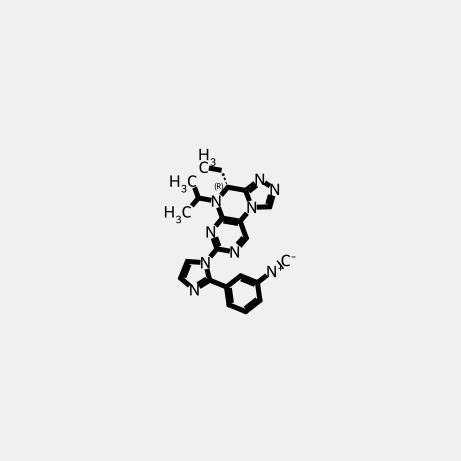 [C-]#[N+]c1cccc(-c2nccn2-c2ncc3c(n2)N(C(C)C)[C@H](CC)c2nncn2-3)c1